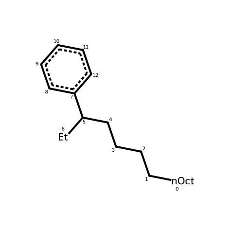 CCCCCCCCCCCCC(CC)c1ccccc1